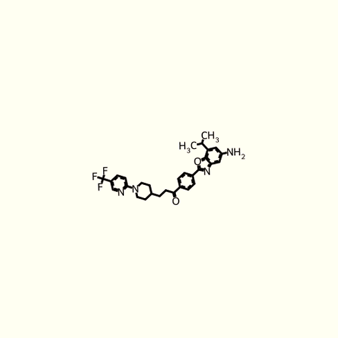 CC(C)c1cc(N)cc2nc(-c3ccc(C(=O)CCC4CCN(c5ccc(C(F)(F)F)cn5)CC4)cc3)oc12